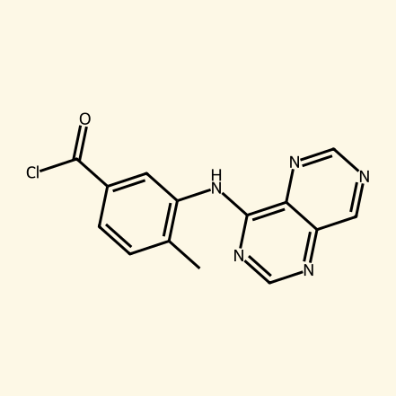 Cc1ccc(C(=O)Cl)cc1Nc1ncnc2cncnc12